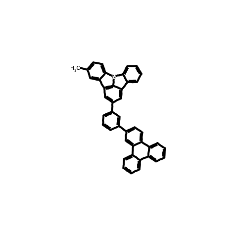 Cc1ccc2c(c1)c1cc(-c3cccc(-c4ccc5c6ccccc6c6ccccc6c5c4)c3)cc3c4ccccc4n2c31